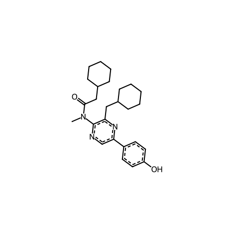 CN(C(=O)CC1CCCCC1)c1ncc(-c2ccc(O)cc2)nc1CC1CCCCC1